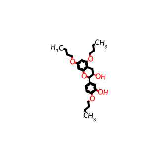 CCCCOc1cc(OCCCC)c2c(c1)O[C@H](c1ccc(OCCCC)c(O)c1)[C@H](O)C2